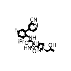 C=C(O)Cn1ccc(S(=N)(=O)NC(=O)Nc2c(-c3ccnc(C#N)c3)cc(F)cc2C(C)C)n1